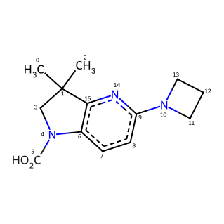 CC1(C)CN(C(=O)O)c2ccc(N3CCC3)nc21